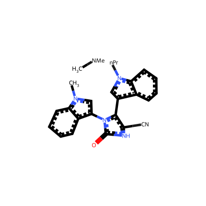 CCCn1cc(-c2c(C#N)[nH]c(=O)n2-c2cn(C)c3ccccc23)c2ccccc21.CNC